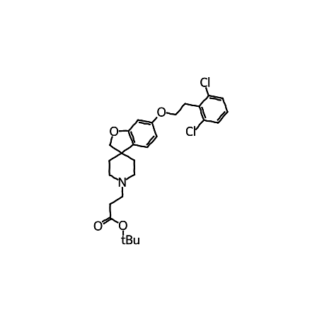 CC(C)(C)OC(=O)CCN1CCC2(CC1)COc1cc(OCCc3c(Cl)cccc3Cl)ccc12